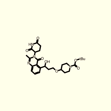 Cc1nc2cccc(C(O)CCOC3CCN(C(=O)OC(C)(C)C)CC3)c2c(=O)n1C1CCC(=O)NC1=O